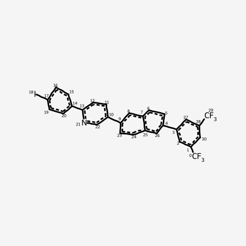 FC(F)(F)c1cc(-c2ccc3cc(-c4ccc(-c5ccc(I)cc5)nc4)ccc3c2)cc(C(F)(F)F)c1